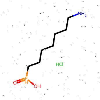 Cl.NCCCCCCC[PH](=O)O